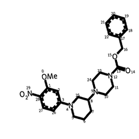 COc1cc(N2CCCC(N3CCN(C(=O)OCc4ccccc4)CC3)C2)ccc1[N+](=O)[O-]